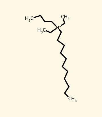 CCCCCCCCCCC[N+](CC)(CC)CCCC